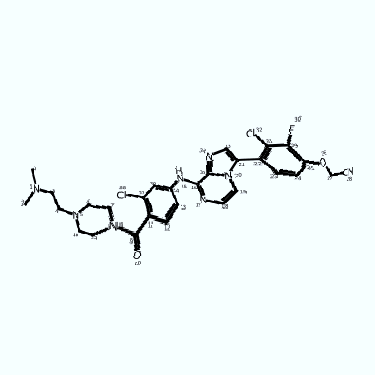 CN(C)CCN1CCN(C(=O)c2ccc(Nc3nccn4c(-c5ccc(OCC#N)c(F)c5Cl)cnc34)cc2Cl)CC1